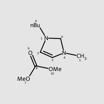 CCCCN1C=CN(C)C1.COC(=O)OC